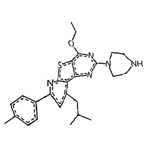 CCOc1nc(N2CCNCC2)nc2c1sc1nc(-c3ccc(C)cc3)cc(CC(C)C)c12